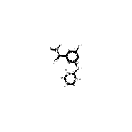 CN(C)C(=O)c1cc(F)cc(Oc2ncncn2)c1